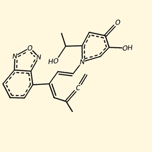 C=C=C(C)/C=C(\C=C\n1cc(O)c(=O)cc1C(C)O)c1cccc2nonc12